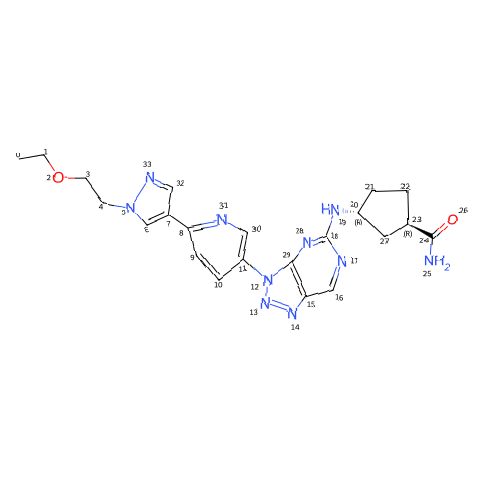 CCOCCn1cc(-c2ccc(-n3nnc4cnc(N[C@@H]5CC[C@@H](C(N)=O)C5)nc43)cn2)cn1